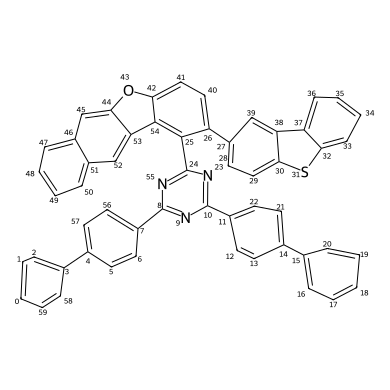 c1ccc(-c2ccc(-c3nc(-c4ccc(-c5ccccc5)cc4)nc(-c4c(-c5ccc6sc7ccccc7c6c5)ccc5oc6cc7ccccc7cc6c45)n3)cc2)cc1